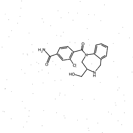 NC(=O)c1ccc(C(=O)N2CC(CO)NCc3ccccc32)c(Cl)c1